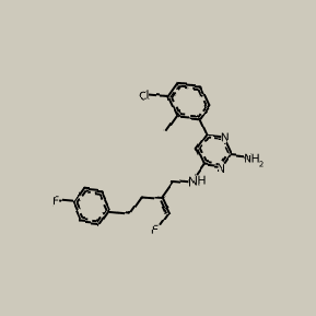 Cc1c(Cl)cccc1-c1cc(NCC(=CF)CCc2ccc(F)cc2)nc(N)n1